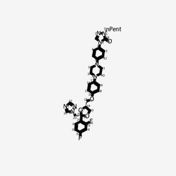 CCCCCn1ncn(-c2ccc(N3CCN(c4ccc(OC[C@@H]5CO[C@@](Cn6cncn6)(c6ccc(F)cc6F)O5)cc4)CC3)cc2)c1=O